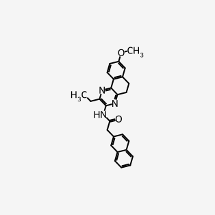 CCc1nc2c(nc1NC(=O)Cc1ccc3ccccc3c1)CCc1cc(OC)ccc1-2